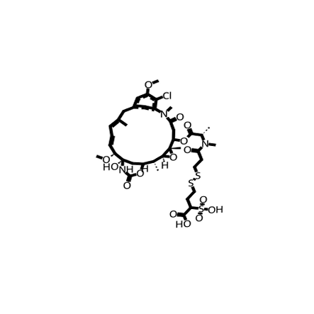 COc1cc2cc(c1Cl)N(C)C(=O)CC(OC(=O)[C@H](C)N(C)C(=O)CCSSCCC(C(=O)O)S(=O)(=O)O)[C@]1(C)O[C@H]1[C@H](C)[C@@H]1C[C@@](O)(NC(=O)O1)[C@H](OC)/C=C/C=C(\C)C2